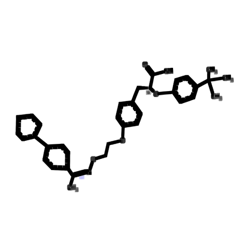 C/C(=N/OCCOc1ccc(C[C@H](Oc2ccc(C(C)(C)C)cc2)C(=O)O)cc1)c1ccc(-c2ccccc2)cc1